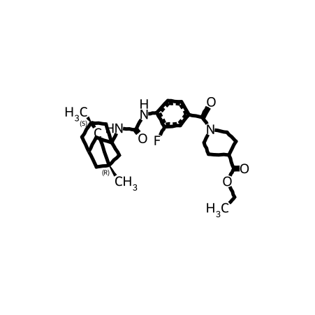 CCOC(=O)C1CCN(C(=O)c2ccc(NC(=O)NC34CC5C[C@@](C)(C3)C[C@](C)(C5)C4)c(F)c2)CC1